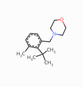 Cc1cccc(CN2CCOCC2)c1C(C)(C)C